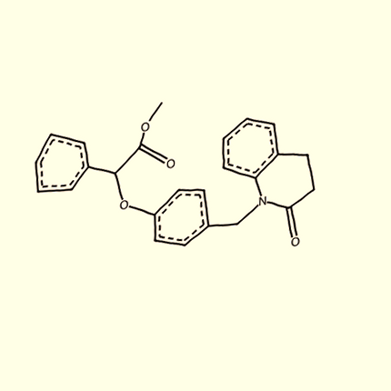 COC(=O)C(Oc1ccc(CN2C(=O)CCc3ccccc32)cc1)c1ccccc1